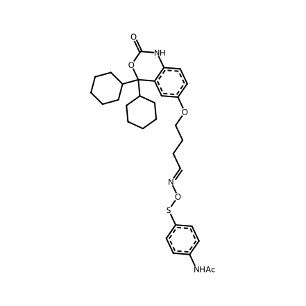 CC(=O)Nc1ccc(SON=CCCCOc2ccc3c(c2)C(C2CCCCC2)(C2CCCCC2)OC(=O)N3)cc1